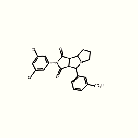 O=C(O)c1cccc(C2C3C(=O)N(c4cc(Cl)cc(Cl)c4)C(=O)C3C3CCCN32)c1